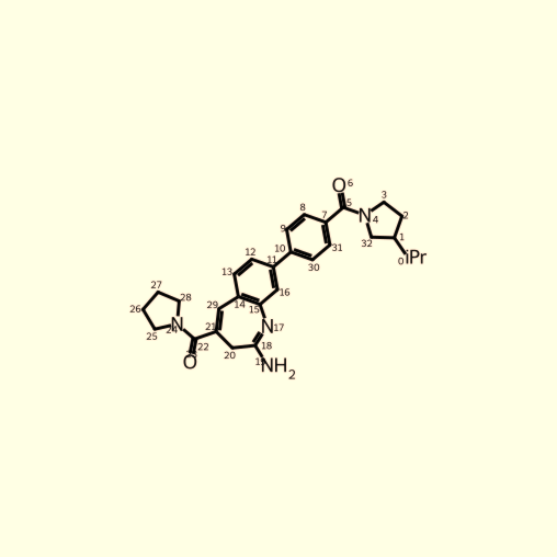 CC(C)C1CCN(C(=O)c2ccc(-c3ccc4c(c3)N=C(N)CC(C(=O)N3CCCC3)=C4)cc2)C1